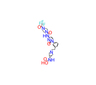 O=C(O)NC1C2CN(CCc3cccc(-n4ccc(NC(=O)N5CCN(C(=O)C(F)(F)F)CC5)nc4=O)c3)CC21